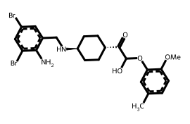 COc1ccc(C)cc1OC(O)C(=O)[C@H]1CC[C@H](NCc2cc(Br)cc(Br)c2N)CC1